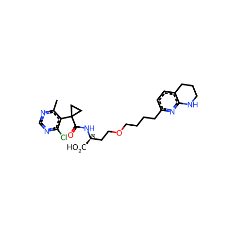 Cc1ncnc(Cl)c1C1(C(=O)N[C@@H](CCOCCCCc2ccc3c(n2)NCCC3)C(=O)O)CC1